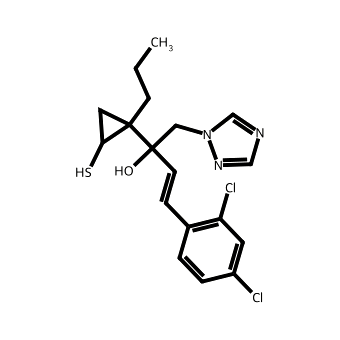 CCCC1(C(O)(C=Cc2ccc(Cl)cc2Cl)Cn2cncn2)CC1S